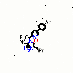 CC(=O)c1ccc(-c2ccc([C@H](N(C(=O)[C@@H](N)CC(C)C)C3(C#N)CC3)C(F)(F)F)nc2)cc1